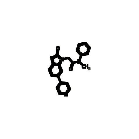 CN(C(=O)Cn1c(=O)sc2ccc(-c3ccncc3)cc21)c1ccccc1